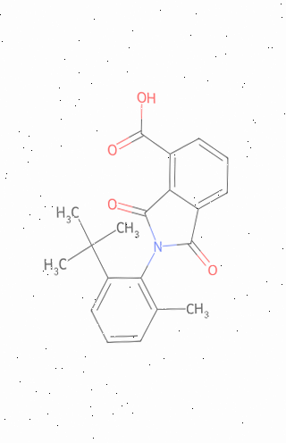 Cc1cccc(C(C)(C)C)c1N1C(=O)c2cccc(C(=O)O)c2C1=O